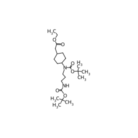 CCOC(=O)CC1CCC(N(CCCNC(=O)OC(C)(C)C)C(=O)OC(C)(C)C)CC1